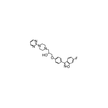 OC(COc1ccc(-c2noc3cc(F)ccc23)cc1)CN1CCN(c2ncccn2)CC1